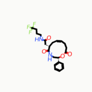 O=C(C[C@@H]1CC=CCCC(=O)O[C@H](c2ccccc2)CNC1=O)NCCCC(F)(F)F